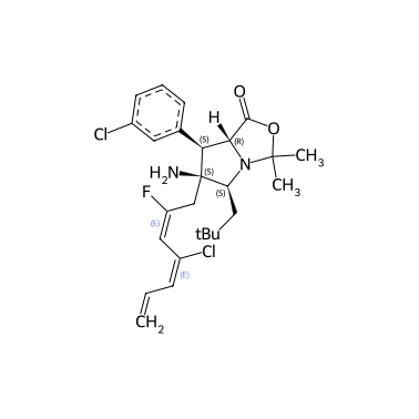 C=C/C=C(Cl)\C=C(\F)C[C@@]1(N)[C@H](CC(C)(C)C)N2[C@@H](C(=O)OC2(C)C)[C@@H]1c1cccc(Cl)c1